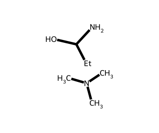 CCC(N)O.CN(C)C